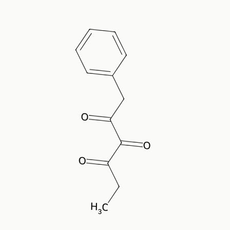 CCC(=O)C(=O)C(=O)Cc1ccccc1